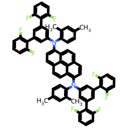 Cc1ccc(N(c2cc(-c3c(F)cccc3F)cc(-c3c(F)cccc3F)c2)c2ccc3ccc4c(N(c5cc(-c6c(F)cccc6F)cc(-c6c(F)cccc6F)c5)c5ccc(C)cc5C)ccc5ccc2c3c54)c(C)c1